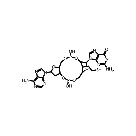 Nc1nc2c(ncn2C2OC3COP(O)OC4CC(n5cnc6c(N)ncnc65)OC4COP(O)OC2C3CCS)c(=O)[nH]1